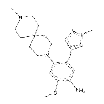 COc1cc(N2CCC3(CCN(C)CC3)CC2)c(-c2cnn(C)c2)cc1N